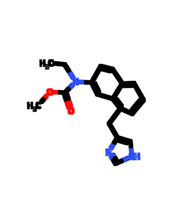 CCN(C(=O)OC)c1ccc2cccc(Cc3c[nH]cn3)c2c1